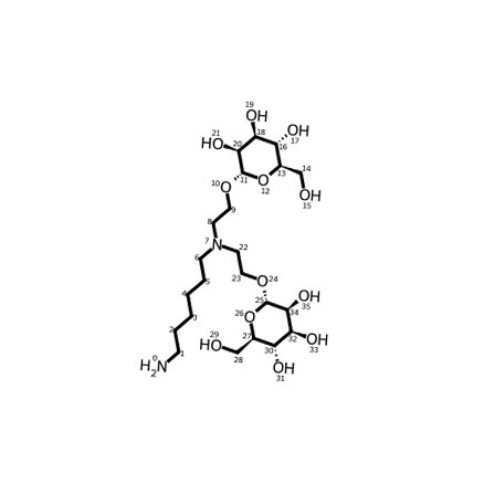 NCCCCCCN(CCO[C@H]1O[C@H](CO)[C@@H](O)[C@H](O)[C@@H]1O)CCO[C@H]1O[C@H](CO)[C@@H](O)[C@H](O)[C@@H]1O